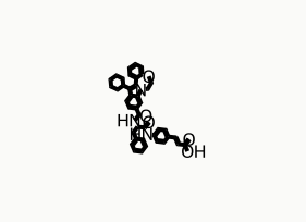 O=C(O)C=Cc1ccc(NC(=O)C(Cc2ccccc2)NC(=O)c2ccc3c(C4CCCCC4)c4n(c3c2)CCOc2ccccc2-4)cc1